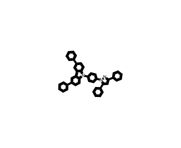 c1ccc(-c2ccc3c(c2)c2cc(-c4ccccc4)ccc2n3-c2ccc(-n3nc(-c4ccccc4)cc3-c3ccccc3)cc2)cc1